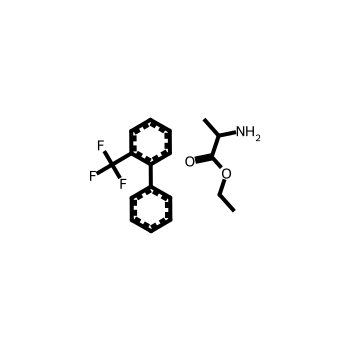 CCOC(=O)C(C)N.FC(F)(F)c1ccccc1-c1ccccc1